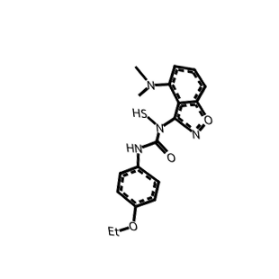 CCOc1ccc(NC(=O)N(S)c2noc3cccc(N(C)C)c23)cc1